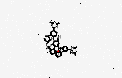 Cc1nc(C)nc(-c2ccc3c(c2)c2ccccc2n3-c2cc(-c3c(C(F)(F)F)cccc3C(F)(F)F)c(-n3c4ccccc4c4cc(-c5nc(C)nc(C)n5)ccc43)cc2C#N)n1